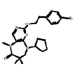 CN1C(=O)C(C)(C)CN(C2CCCC2)c2nc(NCCc3ccc(Br)cc3)ncc21